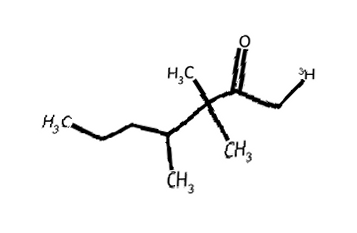 [3H]CC(=O)C(C)(C)C(C)CCC